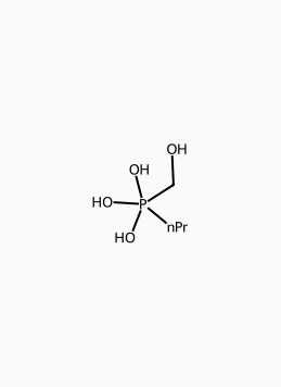 CCCP(O)(O)(O)CO